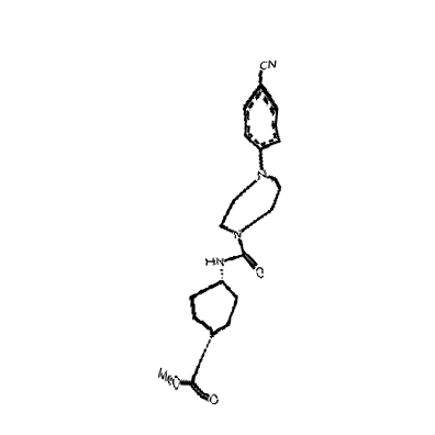 COC(=O)[C@H]1CC[C@H](NC(=O)N2CCN(c3ccc(C#N)cc3)CC2)CC1